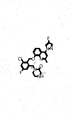 Cc1cc(-n2cc(F)cn2)c2cccc(OCc3c(Cl)cc(F)cc3[C@H](C)N3CCN[C@@H](C)C3=O)c2n1